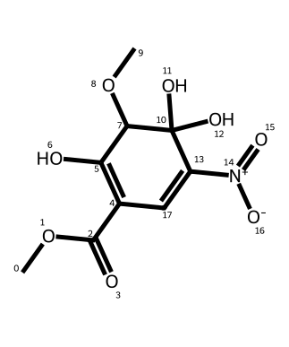 COC(=O)C1=C(O)C(OC)C(O)(O)C([N+](=O)[O-])=C1